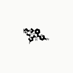 CC(C)c1ccc(C(NC(=O)C2CC(F)CN2C(=O)Cn2nncc2N2CCC2)c2ccccc2)nc1